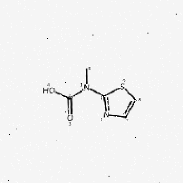 CN(C(=O)O)c1nccs1